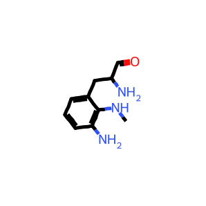 CNc1c(N)cccc1CC(N)C=O